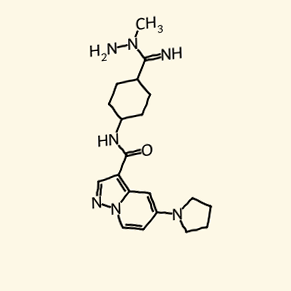 CN(N)C(=N)C1CCC(NC(=O)c2cnn3ccc(N4CCCC4)cc23)CC1